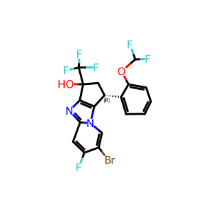 OC1(C(F)(F)F)C[C@H](c2ccccc2OC(F)F)c2c1nc1cc(F)c(Br)cn21